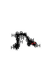 CCCCc1nc2c(NC(=O)OCCSSC(C)(C)CNC(=O)CCC(NC(=O)c3ccc(NCc4cnc5nc(C)[nH]c(=O)c5n4)cc3)C(=O)O)nc3ccccc3c2n1CC(C)(C)CO